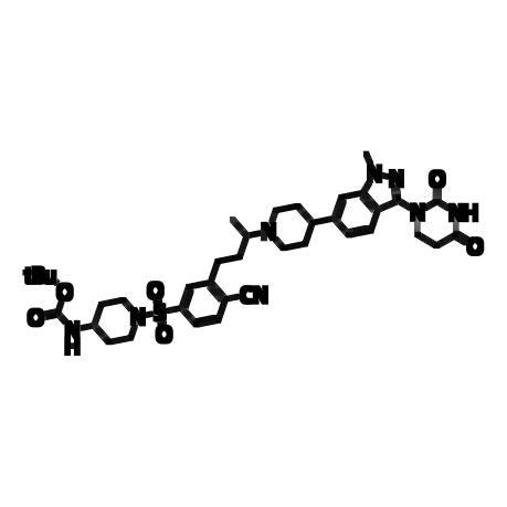 CC(CCc1cc(S(=O)(=O)N2CCC(NC(=O)OC(C)(C)C)CC2)ccc1C#N)N1CCC(c2ccc3c(N4CCC(=O)NC4=O)nn(C)c3c2)CC1